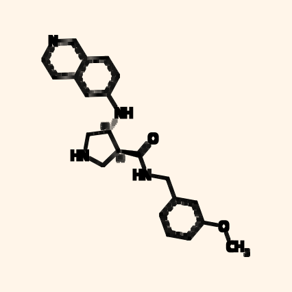 COc1cccc(CNC(=O)[C@H]2CNC[C@@H]2Nc2ccc3cnccc3c2)c1